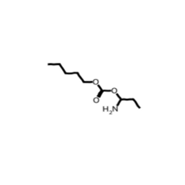 CCCCCOC(=O)OC(N)CC